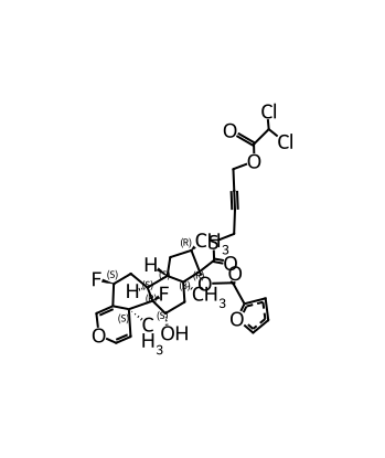 C[C@@H]1C[C@H]2[C@@H]3C[C@H](F)C4=COC=C[C@]4(C)[C@@]3(F)[C@@H](O)C[C@]2(C)[C@@]1(OC(=O)c1ccco1)C(=O)SCC#CCOC(=O)C(Cl)Cl